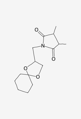 CC1C(=O)N(CC2COC3(CCCCC3)O2)C(=O)C1C